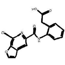 O=C(O)Cc1ccccc1NC(=O)c1cc2ccoc2c(Cl)n1